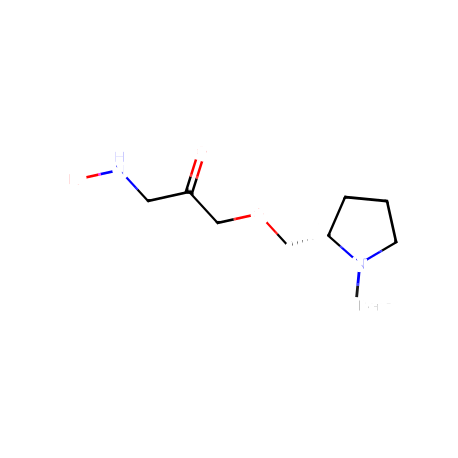 CCCC(C)N1CCC[C@H]1COCC(=O)CNO